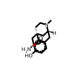 CN1CC[C@]23C[C@@]4(N)CC[C@@]2(OC4)[C@H]1Cc1ccc(O)cc13